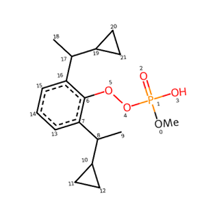 COP(=O)(O)OOc1c(C(C)C2CC2)cccc1C(C)C1CC1